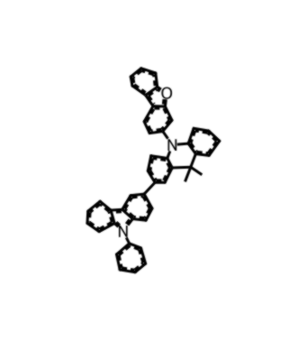 CC1(C)c2ccccc2N(c2ccc3c(c2)oc2ccccc23)c2ccc(-c3ccc4c(c3)c3ccccc3n4-c3ccccc3)cc21